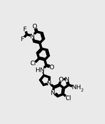 Nc1noc2c(N3CC[C@@H](NC(=O)c4ccc(-c5ccc(=O)n(C(F)F)c5)cc4Cl)C3)ncc(Cl)c12